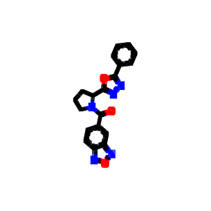 O=C(c1ccc2nonc2c1)N1CCCC1c1nnc(-c2ccccc2)o1